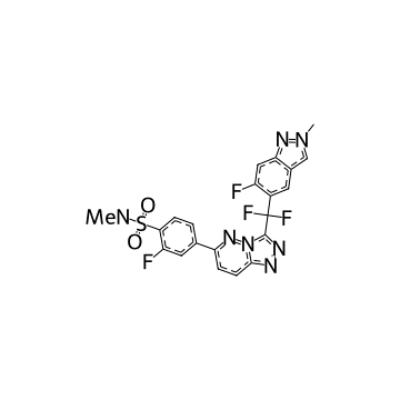 CNS(=O)(=O)c1ccc(-c2ccc3nnc(C(F)(F)c4cc5cn(C)nc5cc4F)n3n2)cc1F